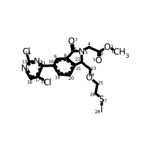 COC(=O)CN1C(=O)c2cc(-c3nc(Cl)ncc3Cl)ccc2C1COCCSI